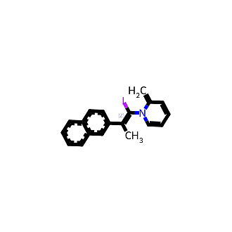 C=C1C=CC=CN1/C(I)=C(\C)c1ccc2ccccc2c1